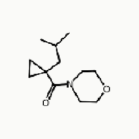 CC(C)CC1(C(=O)N2CCOCC2)CC1